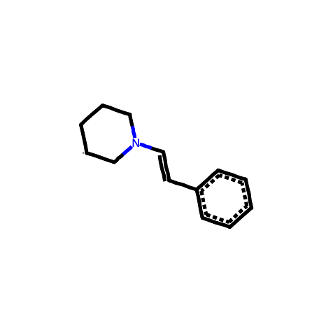 [CH]1CCCN(C=Cc2ccccc2)C1